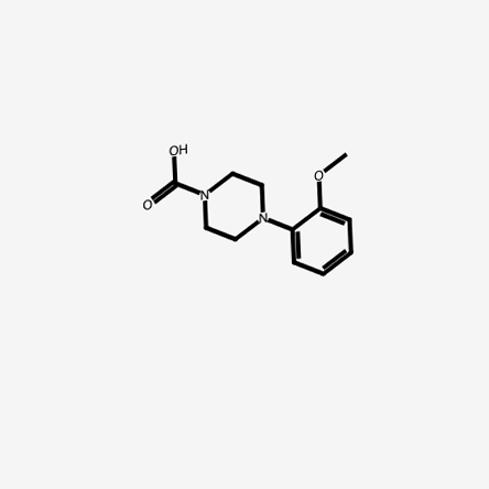 COc1ccccc1N1CCN(C(=O)O)CC1